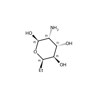 CC[C@H]1O[C@@H](O)[C@H](N)[C@H](O)[C@H]1O